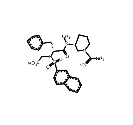 CN(C(=O)[C@@H](Cc1ccccc1)N(CC(=O)O)S(=O)(=O)c1ccc2ccccc2c1)[C@H]1CCCN(C(=N)N)C1